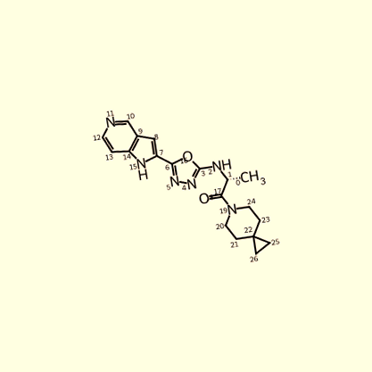 C[C@@H](Nc1nnc(-c2cc3cnccc3[nH]2)o1)C(=O)N1CCC2(CC1)CC2